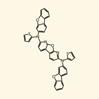 c1csc(N(c2ccc3c(c2)oc2ccccc23)c2ccc3c(n2)oc2nc(N(c4ccc5c(c4)oc4ccccc45)c4cccs4)ccc23)c1